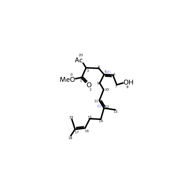 COC(=O)C(C/C(=C/CO)CC/C=C(\C)CCC=C(C)C)C(C)=O